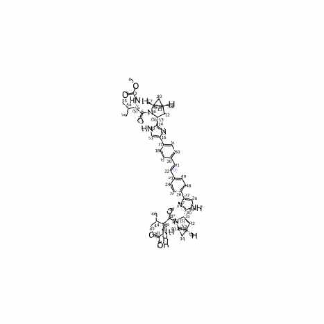 COC(=O)N[C@H](C(=O)N1[C@@H]2C[C@@H]2C[C@H]1c1nc(-c2ccc(/C=C/c3ccc(-c4c[nH]c([C@@H]5C[C@H]6C[C@H]6N5C(=O)[C@@H](NC(=O)O)C(C)C)n4)cc3)cc2)c[nH]1)C(C)C